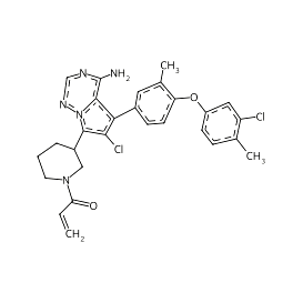 C=CC(=O)N1CCCC(c2c(Cl)c(-c3ccc(Oc4ccc(C)c(Cl)c4)c(C)c3)c3c(N)ncnn23)C1